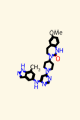 COc1ccc2c(c1)CCN(C1CCN(c3cc(Nc4cc(C)c5[nH]ncc5c4)ncn3)CC1)C(=O)N2